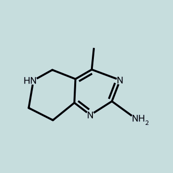 Cc1nc(N)nc2c1CNCC2